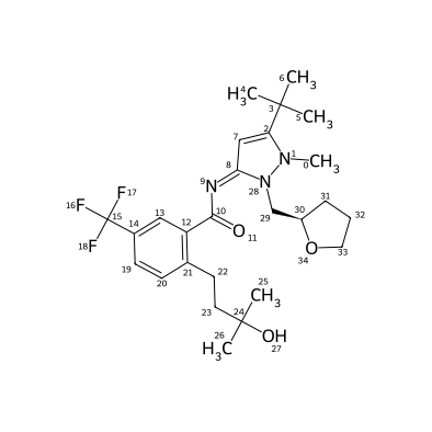 Cn1c(C(C)(C)C)cc(=NC(=O)c2cc(C(F)(F)F)ccc2CCC(C)(C)O)n1C[C@H]1CCCO1